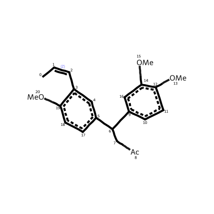 C/C=C\c1cc(C(CC(C)=O)c2ccc(OC)c(OC)c2)ccc1OC